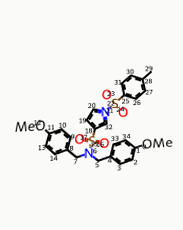 COc1ccc(CN(Cc2ccc(OC)cc2)S(=O)(=O)c2ccn(S(=O)(=O)c3ccc(C)cc3)c2)cc1